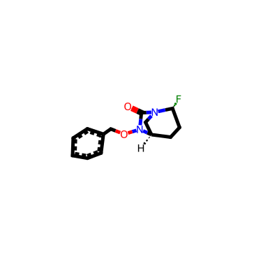 O=C1N2C[C@@H](CC[C@H]2F)N1OCc1ccccc1